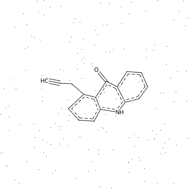 C#CCc1cccc2[nH]c3ccccc3c(=O)c12